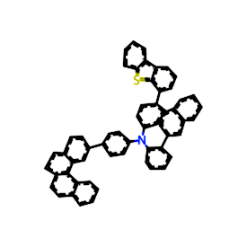 c1ccc(N(c2ccc(-c3ccc4ccc5ccc6ccccc6c5c4c3)cc2)c2ccc(-c3cccc4c3sc3ccccc34)cc2)c(-c2ccc3ccccc3c2)c1